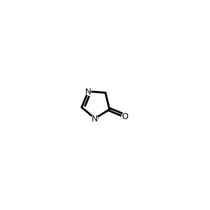 O=C1CN=C[N]1